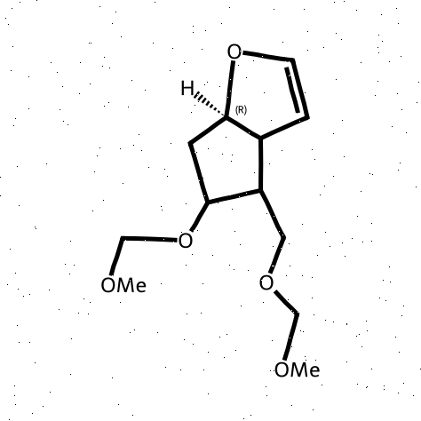 COCOCC1C(OCOC)C[C@H]2OC=CC12